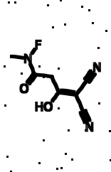 CN(F)C(=O)CC(O)=C(C#N)C#N